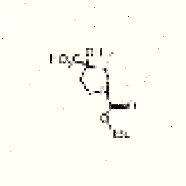 C[C@@H]1CN(C(=O)OC(C)(C)C)CC[C@@]1(O)C(=O)O